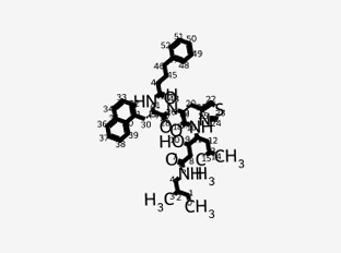 CCC(C)CNC(=O)CC(O)C(CC(C)C)NC(=O)[C@H](Cc1cscn1)NC(=O)[C@H](Cc1cccc2ccccc12)NC(=O)CCCc1ccccc1